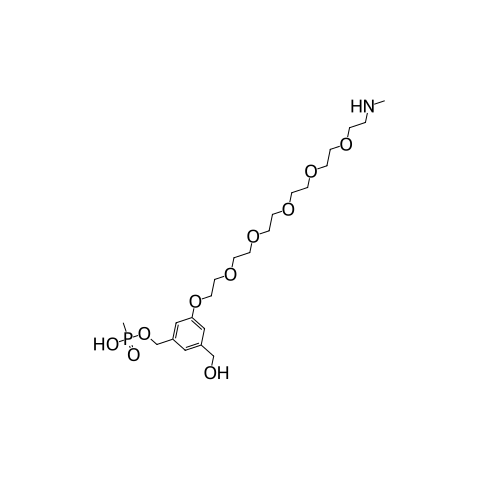 CNCCOCCOCCOCCOCCOCCOc1cc(CO)cc(COP(C)(=O)O)c1